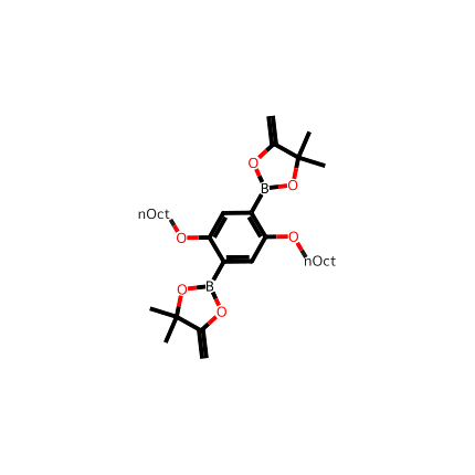 C=C1OB(c2cc(OCCCCCCCC)c(B3OC(=C)C(C)(C)O3)cc2OCCCCCCCC)OC1(C)C